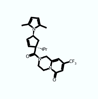 Cc1ccc(C)n1[C@@H]1C=C[C@@](C(=O)N2CCn3c(cc(C(F)(F)F)cc3=O)C2)(C(C)C)C1